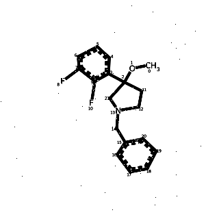 COC1(c2cccc(F)c2F)CCN(Cc2ccccc2)C1